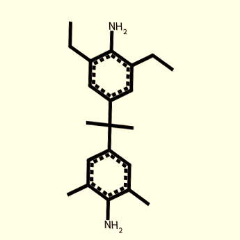 CCc1cc(C(C)(C)c2cc(C)c(N)c(C)c2)cc(CC)c1N